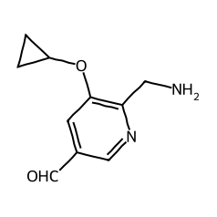 NCc1ncc(C=O)cc1OC1CC1